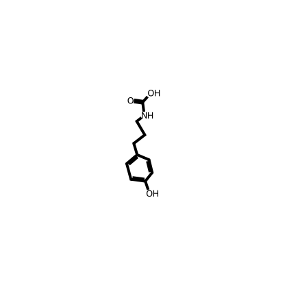 O=C(O)NCCCc1ccc(O)cc1